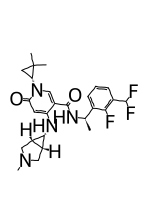 C[C@@H](NC(=O)c1cn([C@@H]2CC2(C)C)c(=O)cc1N[C@@H]1[C@@H]2CN(C)C[C@@H]21)c1cccc(C(F)F)c1F